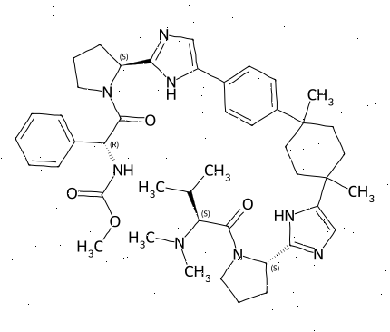 COC(=O)N[C@@H](C(=O)N1CCC[C@H]1c1ncc(-c2ccc(C3(C)CCC(C)(c4cnc([C@@H]5CCCN5C(=O)[C@H](C(C)C)N(C)C)[nH]4)CC3)cc2)[nH]1)c1ccccc1